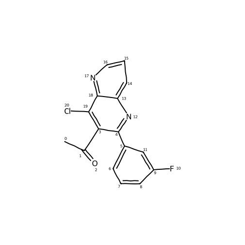 CC(=O)c1c(-c2cccc(F)c2)nc2cccnc2c1Cl